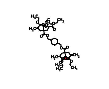 C=C(CC(COCC)(CC(=C)C(=O)OCC)C(=O)OCC1CCC(COC(=O)C(CC(=C)C(=O)OCC)(CC(=C)C(=O)OCC)C(=O)OCC)CC1)C(=O)OCC